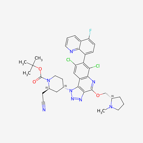 CN1CCC[C@H]1COc1nc2c(Cl)c(-c3ccc(F)c4cccnc34)c(Cl)cc2c2c1nnn2[C@H]1CCN(C(=O)OC(C)(C)C)[C@H](CC#N)C1